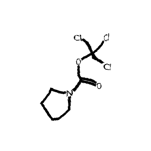 O=C(OC(Cl)(Cl)Cl)N1CCCC1